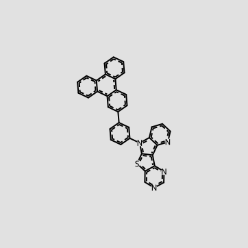 c1cc(-c2ccc3c4ccccc4c4ccccc4c3c2)cc(-n2c3cccnc3c3c4ncncc4sc32)c1